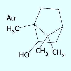 CC1(C)C2CCC1(C)C(O)C2.[Au]